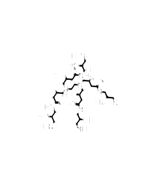 CC(CC(=O)NCC(O)CN)CN(CCN(CC(C)CC(=O)NCC(O)CN)CC(C)CC(=O)NCC(O)CN)CC(C)CC(=O)NCC(O)CN